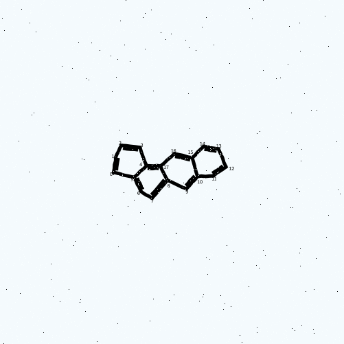 [c]1cccc2c1ccc1cc3ccccc3cc12